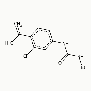 C=C(C)c1ccc(NC(=O)NCC)cc1Cl